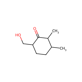 CC1CCC(CO)C(=O)C1C